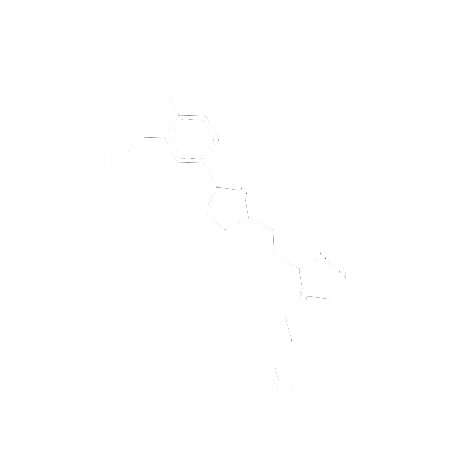 COCCN1CNNC1SCC1CSC(c2ccc(OC)c(OC)c2)N1